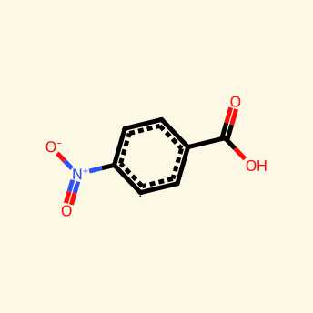 O=C(O)c1c[c]c([N+](=O)[O-])cc1